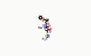 Cc1nnc(SCC2=C(C(=O)[O-])N3C(=O)C(NC(=O)Cc4ccsc4C(=O)Oc4ccccc4)[C@@H]3SC2)s1.[Na+]